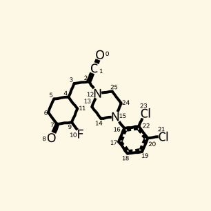 O=C=C(CC1CCC(=O)C(F)C1)N1CCN(c2cccc(Cl)c2Cl)CC1